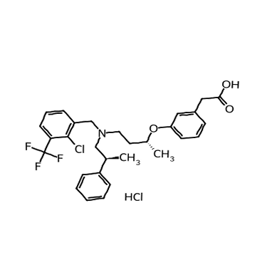 C[C@H](CCN(Cc1cccc(C(F)(F)F)c1Cl)C[C@@H](C)c1ccccc1)Oc1cccc(CC(=O)O)c1.Cl